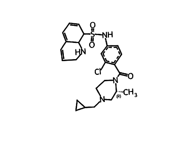 C[C@@H]1CN(CC2CC2)CCN1C(=O)c1ccc(NS(=O)(=O)C2C=CC=C3C=CCNC32)cc1Cl